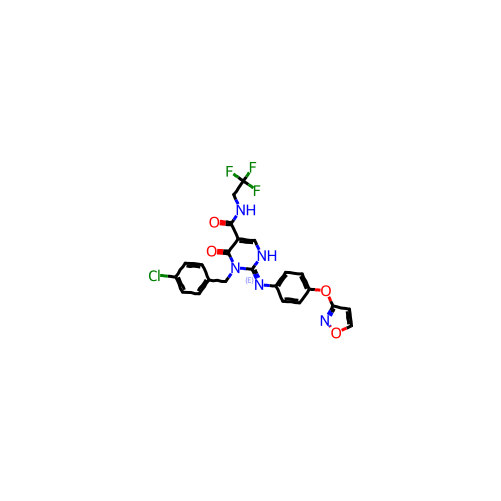 O=C(NCC(F)(F)F)c1c[nH]/c(=N\c2ccc(Oc3ccon3)cc2)n(Cc2ccc(Cl)cc2)c1=O